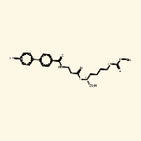 CCCc1ccc(-c2ccc(C(=O)NCCC(=O)N[C@@H](CCCCNC(=O)OC(C)(C)C)C(=O)O)cc2)cc1